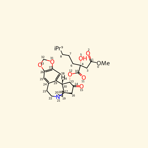 COC(=O)C[C@](O)(CCCC(C)C)C(=O)O[C@@H]1C(=O)C[C@]23CCCN2CCc2cc4c(cc2[C@H]13)OCO4